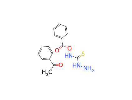 CC(=O)c1ccccc1.NNC(=S)NOC(=O)c1ccccc1